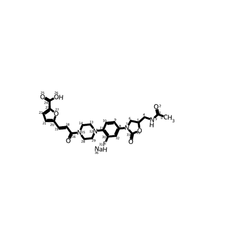 CC(=O)NCC1CN(c2ccc(N3CCN(C(=O)C=Cc4ccc(C(=O)O)o4)CC3)c(F)c2)C(=O)O1.[NaH]